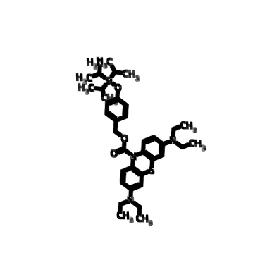 CCN(CC)c1ccc2c(c1)Sc1cc(N(CC)CC)ccc1N2C(=O)OCc1ccc(O[Si](C(C)C)(C(C)C)C(C)C)cc1